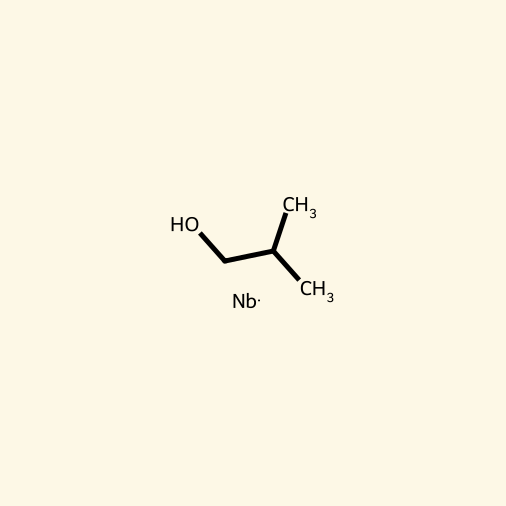 CC(C)CO.[Nb]